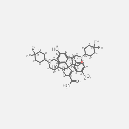 NC(=O)C1=CC(c2c(O)cc(O)cc2Oc2ccc([N+](=O)[O-])cc2)(C2CCN(C3CCC(F)(F)CC3)CC2)N(C2CCN(C3CCC(F)(F)CC3)CC2)O1